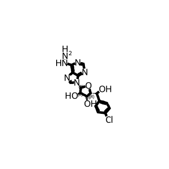 NNc1ncnc2c1ncn2[C@@H]1O[C@H](C(O)c2ccc(Cl)cc2)[C@@H](O)[C@H]1O